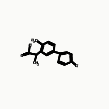 Cc1ccc(-c2ccc(Cl)cc2)cc1C(C)C(=O)Cl